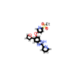 CCS(=O)(=O)c1ccc(Oc2cc3[nH]c(-c4ccccn4)nc3cc2C2CCCO2)cn1